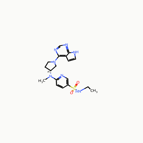 CCNS(=O)(=O)c1ccc(N(C)[C@@H]2CCN(c3ncnc4[nH]ccc34)C2)nc1